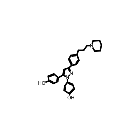 Oc1ccc(-c2cc(-c3ccc(CCCN4CCCCC4)cc3)nn2-c2ccc(O)cc2)cc1